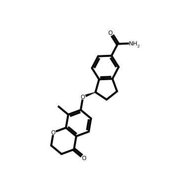 Cc1c(O[C@@H]2CCc3cc(C(N)=O)ccc32)ccc2c1OCCC2=O